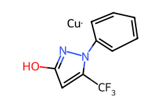 Oc1cc(C(F)(F)F)n(-c2ccccc2)n1.[Cu]